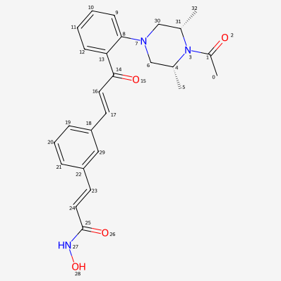 CC(=O)N1[C@H](C)CN(c2ccccc2C(=O)C=Cc2cccc(C=CC(=O)NO)c2)C[C@@H]1C